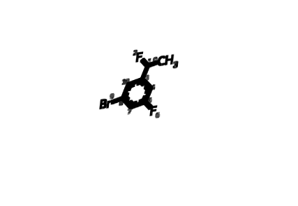 CC(F)c1cc(F)cc(Br)c1